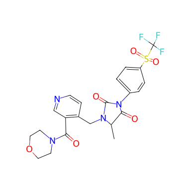 CC1C(=O)N(c2ccc(S(=O)(=O)C(F)(F)F)cc2)C(=O)N1Cc1ccncc1C(=O)N1CCOCC1